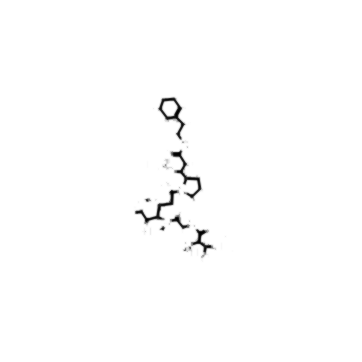 C=C(NCC(=O)N(C)C(C(C)CC)C(CC(=O)N1CCCC1C(CC(=O)NCCC1=CCCCC1)OC)OC)C(NC)C(C)C